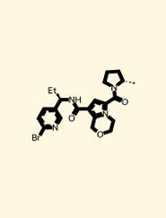 CC[C@@H](NC(=O)c1cc(C(=O)N2CCC[C@@H]2C)n2c1COCC2)c1ccc(Br)nc1